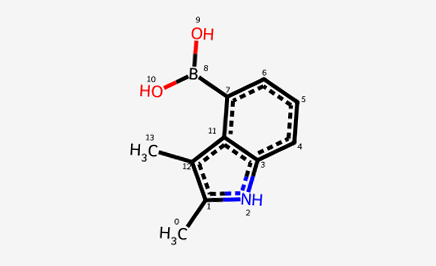 Cc1[nH]c2cccc(B(O)O)c2c1C